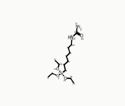 CCO[Si](CCCCCCCNC(N)=O)(OCC)OCC